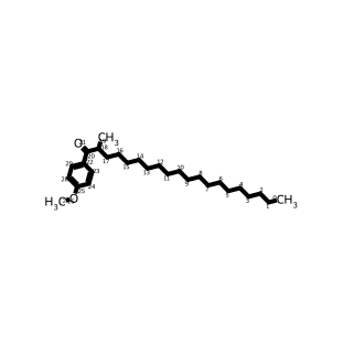 CCCCCCCCCCCCCCCCCCC(C)C(=O)c1ccc(OC)cc1